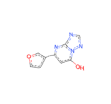 Oc1cc(-c2ccoc2)nc2ncnn12